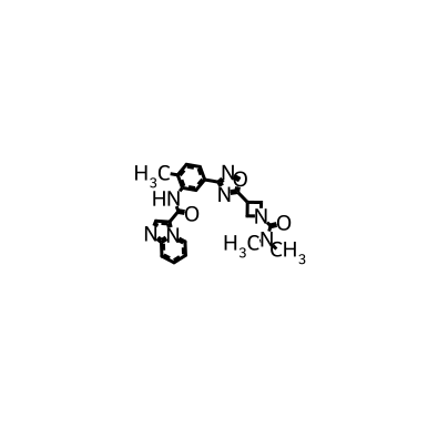 Cc1ccc(-c2noc(C3CN(C(=O)N(C)C)C3)n2)cc1NC(=O)c1cnc2ccccn12